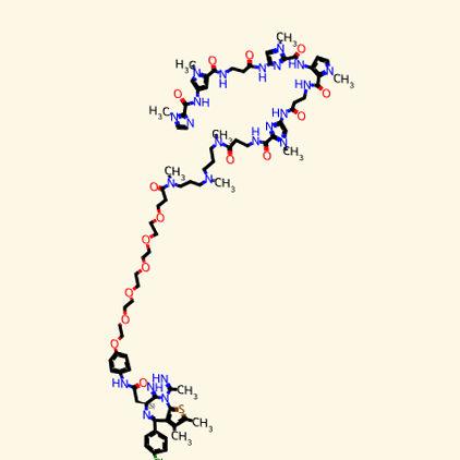 CC(=N)N1C(=N)[C@H](CC(=O)Nc2ccc(OCCOCCOCCOCCOCCOCCC(=O)N(C)CCCN(C)CCCN(C)C(=O)CCNC(=O)c3nc(NC(=O)CCNC(=O)c4c(NC(=O)c5nc(NC(=O)CCNC(=O)c6cc(NC(=O)c7nccn7C)cn6C)cn5C)ccn4C)cn3C)cc2)N=C(c2ccc(Cl)cc2)c2c1sc(C)c2C